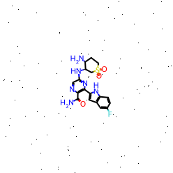 NC(=O)c1ncc(N[C@@H]2CS(=O)(=O)CC[C@@H]2N)nc1-c1cc2cc(F)ccc2[nH]1